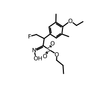 CCCOS(=O)(=O)C(=NO)C(CF)c1cc(C)c(OCC)c(C)c1